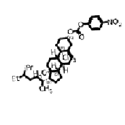 CCC(CCC(C)[C@H]1CC[C@H]2[C@@H]3CC=C4C[C@@H](OC(=O)Oc5ccc([N+](=O)[O-])cc5)CC[C@]4(C)[C@H]3CC[C@]12C)C(C)C